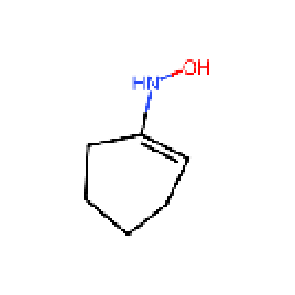 ONC1=CCCCC1